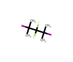 CC(C)(I)C(F)(F)C(C)(C)I